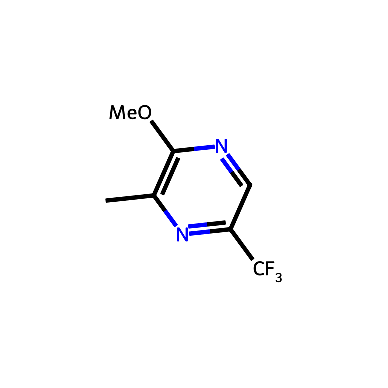 COc1ncc(C(F)(F)F)nc1C